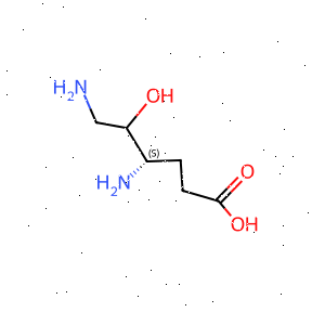 NCC(O)[C@@H](N)CCC(=O)O